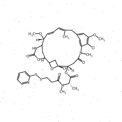 COc1cc2cc(c1Cl)N(C)C(=O)C[C@H](OC(=O)[C@H](C)N(C)C(=O)CCSSc1ccccn1)[C@@]1(C)CC(O1)[C@@H]1CC(NC(=O)O1)[C@H](OC)/C=C/C=C(\C)C2